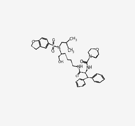 CC(C)CN([C@H](CO)CCCCNC(=O)[C@@H](NC(=O)N1CCOCC1)C(c1ccccc1)c1ccccc1)S(=O)(=O)c1ccc2c(c1)CCO2